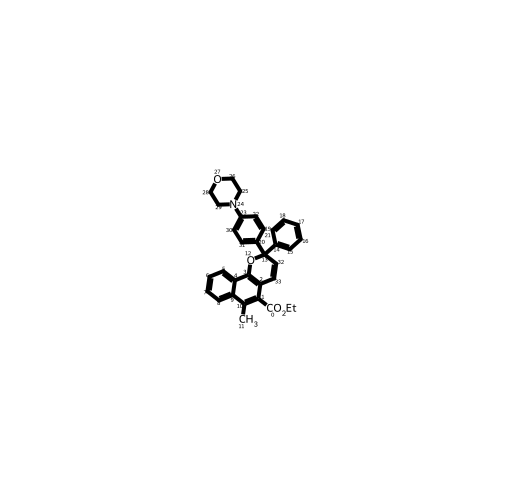 CCOC(=O)c1c2c(c3ccccc3c1C)OC(c1ccccc1)(c1ccc(N3CCOCC3)cc1)C=C2